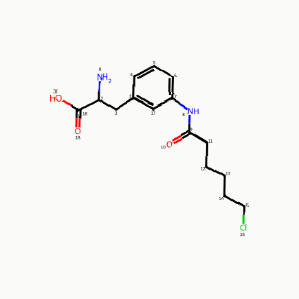 NC(Cc1cccc(NC(=O)CCCCCCl)c1)C(=O)O